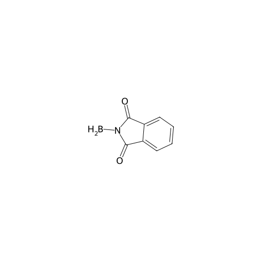 BN1C(=O)c2ccccc2C1=O